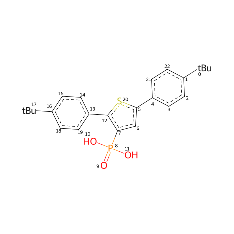 CC(C)(C)c1ccc(-c2cc(P(=O)(O)O)c(-c3ccc(C(C)(C)C)cc3)s2)cc1